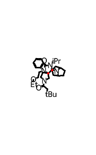 CCOCCN1CC2(CC3CCC(C2)N3C[C@H]2CN(C(=O)CC(C)(C)C)C[C@@H]2c2ccccc2)N(C(C)C)C1=O